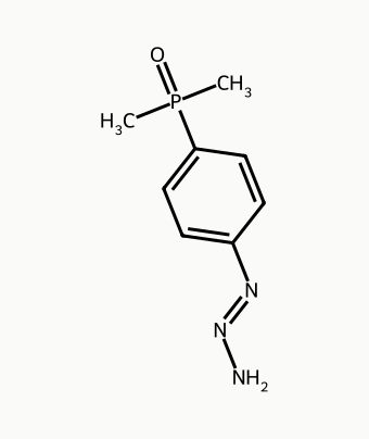 CP(C)(=O)c1ccc(N=NN)cc1